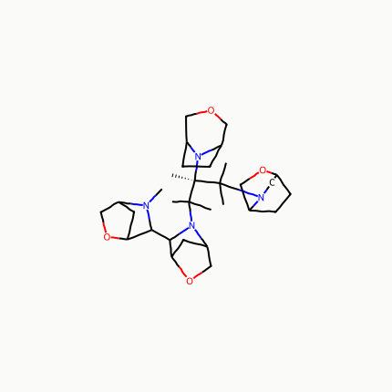 CN1C2COC(C2)C1C1C2CC(CO2)N1C(C)(C)[C@@](C)(N1C2CCC1COC2)C(C)(C)N1CC2CCC1CO2